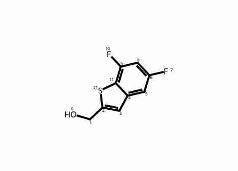 OCc1cc2cc(F)cc(F)c2s1